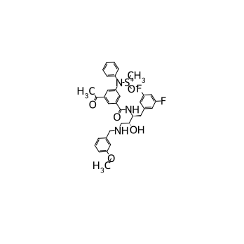 COc1cccc(CNC[C@@H](O)[C@H](Cc2cc(F)cc(F)c2)NC(=O)c2cc(C(C)=O)cc(N(c3ccccc3)[S+](C)[O-])c2)c1